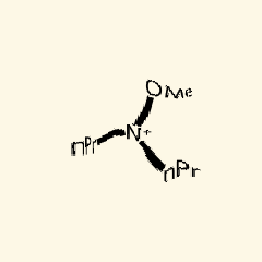 CCC[N+](CCC)OC